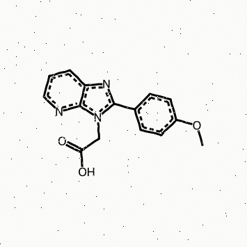 COc1ccc(-c2nc3cccnc3n2CC(=O)O)cc1